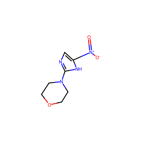 O=[N+]([O-])c1cnc(N2CCOCC2)[nH]1